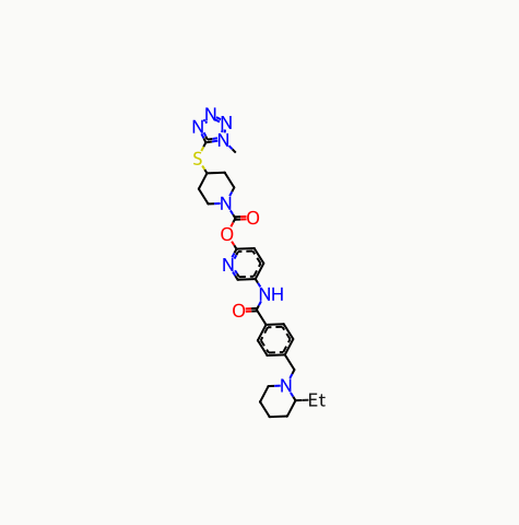 CCC1CCCCN1Cc1ccc(C(=O)Nc2ccc(OC(=O)N3CCC(Sc4nnnn4C)CC3)nc2)cc1